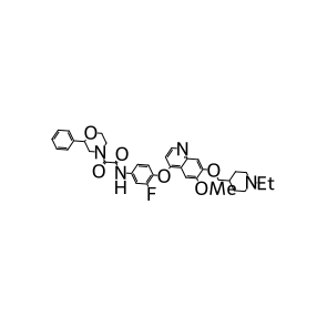 CCN1CCC(COc2cc3nccc(Oc4ccc(NC(=O)C(=O)N5CCOC(c6ccccc6)C5)cc4F)c3cc2OC)CC1